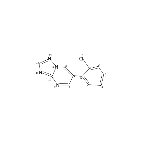 Clc1ccccc1-c1cnc2ncnn2c1